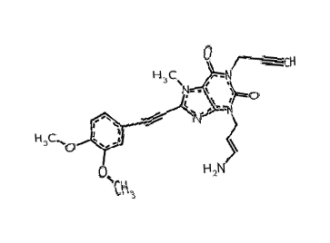 C#CCn1c(=O)c2c(nc(C#Cc3ccc(OC)c(OC)c3)n2C)n(CC=CN)c1=O